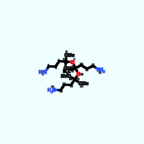 CO[Si](CCCN)(OC)O[Si](C)(CCCN)O[Si](CCCN)(OC)OC